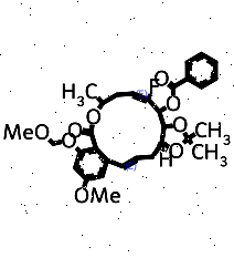 COCOc1cc(OC)cc2c1C(=O)OC(C)C/C=C(/F)C(OC(=O)c1ccccc1)C1OC(C)(C)O[C@H]1C/C=C/2